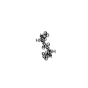 COC(=O)NC(C)C(=O)N1CCS[C@H]1c1nc(-c2cc3c(OC)c4sc(-c5c[nH]c([C@@H]6SCCN6C(=O)C(NC(OC)OC)c6ccccc6)n5)cc4c(OC)c3s2)c[nH]1